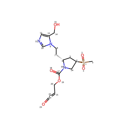 CS(=O)(=O)[C@@H]1C[C@@H](CCn2cncc2CO)N(C(=O)OCC=C=O)C1